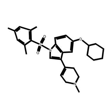 Cc1cc(C)c(S(=O)(=O)n2cc(C3=CCN(C)CC3)c3cc(OC4CCCCC4)ccc32)c(C)c1